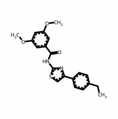 CCc1ccc(-c2csc(NC(=O)c3cc(OC)cc(OC)c3)n2)cc1